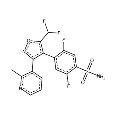 Cc1ncccc1-c1noc(C(F)F)c1-c1cc(F)c(S(N)(=O)=O)cc1F